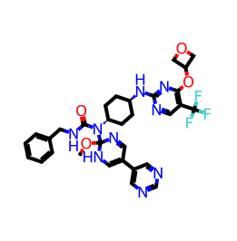 COC1(N(C(=O)NCc2ccccc2)[C@H]2CC[C@H](Nc3ncc(C(F)(F)F)c(OC4COC4)n3)CC2)N=CC(c2cncnc2)=CN1